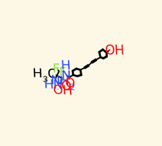 CC(N)(C(F)F)C(NC(=O)c1ccc(C#CC#Cc2ccc(O)cc2)cc1)C(=O)NO